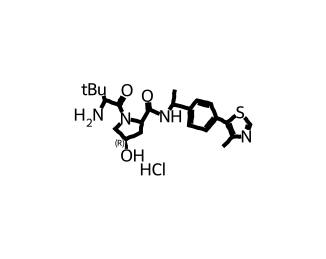 Cc1ncsc1-c1ccc(C(C)NC(=O)C2C[C@@H](O)CN2C(=O)C(N)C(C)(C)C)cc1.Cl